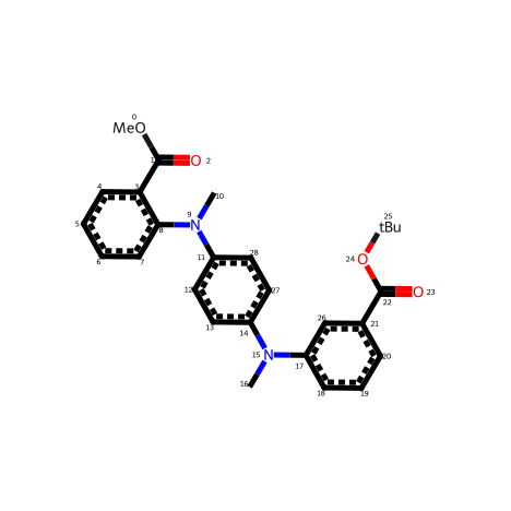 COC(=O)c1ccccc1N(C)c1ccc(N(C)c2cccc(C(=O)OC(C)(C)C)c2)cc1